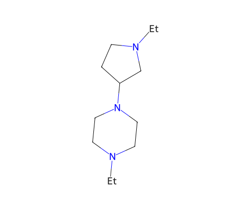 CCN1CCN(C2CCN(CC)C2)CC1